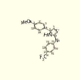 COc1ccc(-c2csc(=Nc3ccc(C(F)(F)F)cc3)[nH]2)cc1